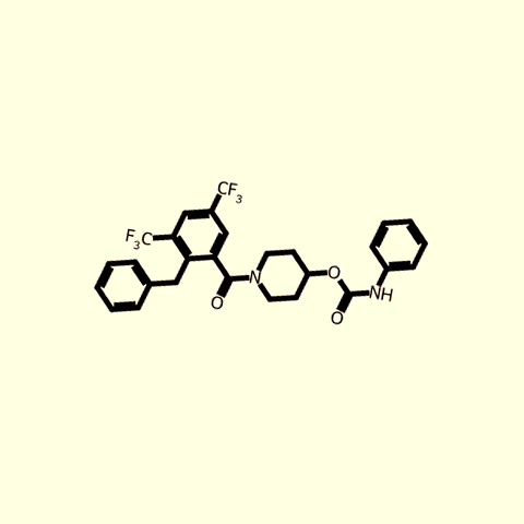 O=C(Nc1ccccc1)OC1CCN(C(=O)c2cc(C(F)(F)F)cc(C(F)(F)F)c2Cc2ccccc2)CC1